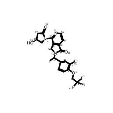 CC(c1ccc(OCC(F)(F)F)c(Cl)c1)N1Cc2c(ccnc2N2C[C@@H](O)CC2=O)C1=O